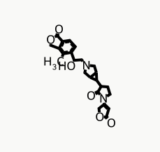 Cc1c([C@@H](O)CN2CC3C(C2)C3C2CCN(C3=CC(=O)OC3)C2=O)ccc2c1COC2=O